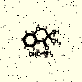 CC1(S)COc2ccccc2C1=O.NC=O